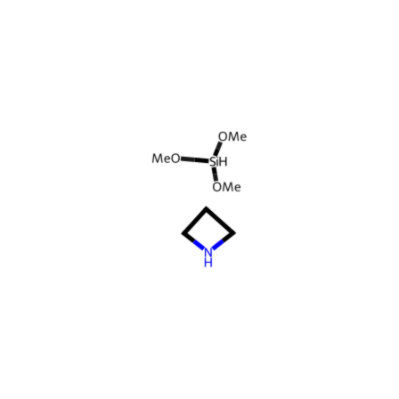 C1CNC1.CO[SiH](OC)OC